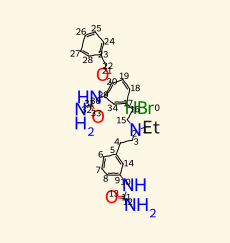 Br.CCN(CCc1cccc(NC(N)=O)c1)CCc1ccc(OCc2ccccc2)c(NC(N)=O)c1